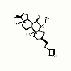 C[C@]12CCC(=CCC3CNC3)CC1[C@@H](CO)C(=O)C1C2CC[C@]2(C)C(=O)CCC12